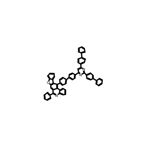 c1ccc(-c2ccc(-c3cc(-c4ccc(-c5ccc(-c6c7c(cc8c(-c9ccccc9)nc9ccccc9c68)oc6ccccc67)cc5)cc4)nc(-c4ccc(-c5ccccc5)cc4)n3)cc2)cc1